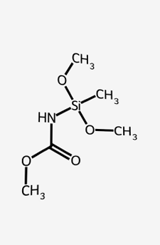 COC(=O)N[Si](C)(OC)OC